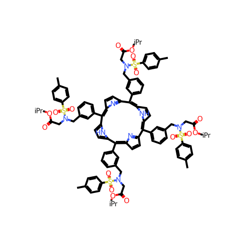 Cc1ccc(S(=O)(=O)N(CC(=O)OC(C)C)Cc2cccc(-c3c4nc(c(-c5cccc(CN(CC(=O)OC(C)C)S(=O)(=O)c6ccc(C)cc6)c5)c5ccc([nH]5)c(-c5cccc(CN(CC(=O)OC(C)C)S(=O)(=O)c6ccc(C)cc6)c5)c5nc(c(-c6cccc(CN(CC(=O)OC(C)C)S(=O)(=O)c7ccc(C)cc7)c6)c6ccc3[nH]6)C=C5)C=C4)c2)cc1